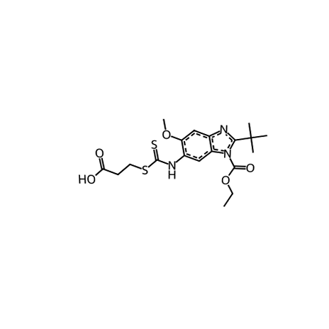 CCOC(=O)n1c(C(C)(C)C)nc2cc(OC)c(NC(=S)SCCC(=O)O)cc21